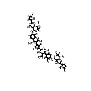 CO[C@@H]1C(OC(=O)c2ccc(C)[nH]2)C(O)[C@H](Oc2ccc3c(O)c(NC(=O)c4[nH]cc(-c5c(O)c6ccc(O[C@H]7OC(C)(C)[C@@H](OC)C(OC(=O)c8ccc(C)[nH]8)C7O)c(C)c6oc5=O)c4C)c(=O)oc3c2C)OC1(C)C